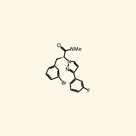 CNC(=O)[C@H](Cc1cccc(Br)c1)n1ccc(-c2cccc(F)c2)n1